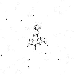 O=c1[nH]c2nc(Cl)nc(NCc3nccs3)c2[nH]1